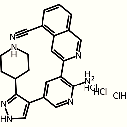 Cl.Cl.Cl.N#Cc1cccc2cnc(-c3cc(-c4c[nH]nc4C4CCNCC4)cnc3N)cc12